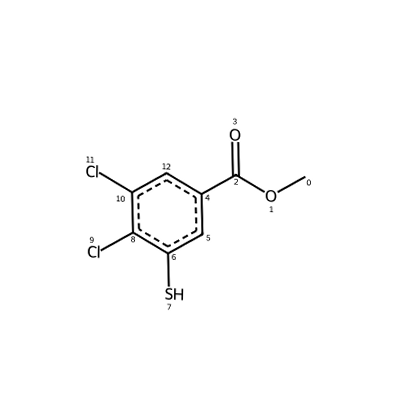 COC(=O)c1cc(S)c(Cl)c(Cl)c1